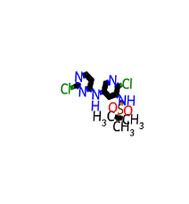 CC(C)(C)S(=O)(=O)Nc1cc(Nc2ccnc(Cl)n2)cnc1Cl